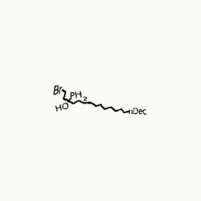 CCCCCCCCCCCCCCCCCCCCCC(O)(P)CCBr